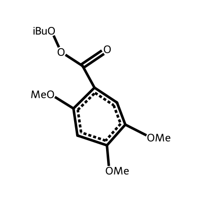 COc1cc(OC)c(C(=O)OO[CH]C(C)C)cc1OC